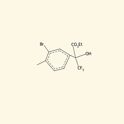 CCOC(=O)C(O)(c1ccc(C)c(Br)c1)C(F)(F)F